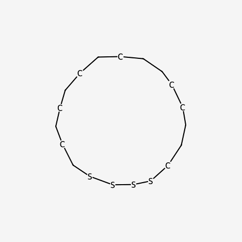 C1CCCCCCCSSSSCCCCCCC1